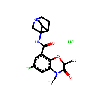 CCC1Oc2c(C(=O)NC3CN4CCC3CC4)cc(Cl)cc2N(C)C1=O.Cl